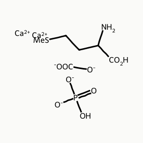 CSCCC(N)C(=O)O.O=C([O-])[O-].O=P([O-])([O-])O.[Ca+2].[Ca+2]